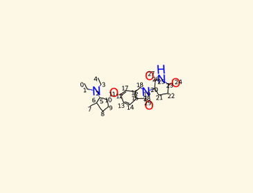 CCN(CC)[C@H]1C(C)CC[C@H]1Oc1ccc2c(c1)CN(C1CCC(=O)NC1=O)C2=O